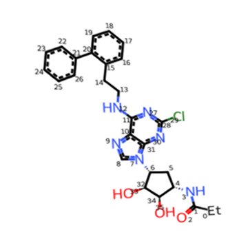 CCC(=O)N[C@H]1C[C@@H](n2cnc3c(NCCc4ccccc4-c4ccccc4)nc(Cl)nc32)[C@H](O)[C@@H]1O